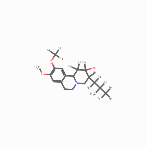 [2H]C([2H])([2H])Oc1cc2c(cc1OC)CCN1CC([2H])(C([2H])([2H])C([2H])(C)C([2H])([2H])[2H])C([2H])(O)C([2H])([2H])C21